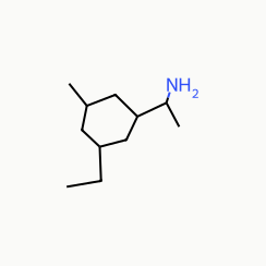 CCC1CC(C)CC(C(C)N)C1